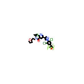 O=C(c1cc(-c2cnn(-c3c(Cl)cc(C(F)(C(F)(F)F)C(F)(F)F)cc3Cl)c2)cnc1Cl)N(CCC1CCCO1)C1CC1